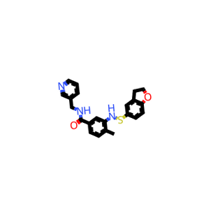 Cc1ccc(C(=O)NCc2cccnc2)cc1NSc1ccc2c(c1)CCO2